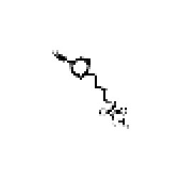 CS(=O)(=O)OCCCCc1ccc(C#N)cc1